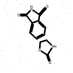 O=C1NC(=O)c2ccccc21.O=C1NCCO1